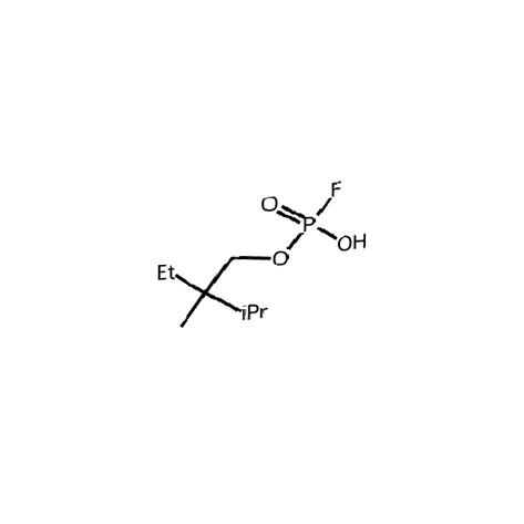 CCC(C)(COP(=O)(O)F)C(C)C